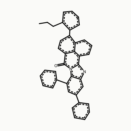 CCCc1ccccc1-c1ccc2c(=O)n3c(nc4cc(-c5ccccc5)cc(-c5ccccc5)c43)c3cccc1c23